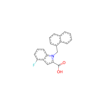 O=C(O)c1cc2c(F)cccc2n1Cc1cccc2ccccc12